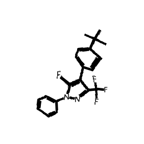 CC(C)(C)c1ccc(-c2c(C(F)(F)F)nn(-c3ccccc3)c2F)cc1